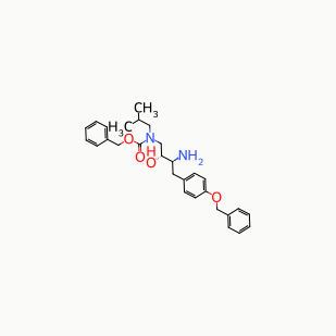 CC(C)CN(C[C@@H](O)[C@@H](N)Cc1ccc(OCc2ccccc2)cc1)C(=O)OCc1ccccc1